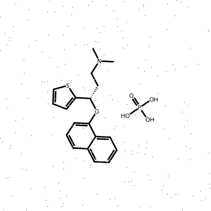 CN(C)CC[C@H](Oc1cccc2ccccc12)c1cccs1.O=P(O)(O)O